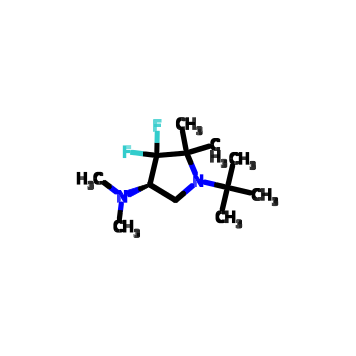 CN(C)[C@@H]1CN(C(C)(C)C)C(C)(C)C1(F)F